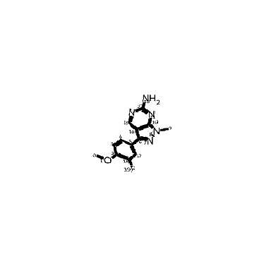 COc1ccc(-c2nn(C)c3nc(N)ncc23)cc1F